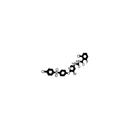 O=C(NC(=O)c1c(F)cccc1Cl)Nc1cnc(Oc2ccc(S(=O)(=O)c3ccc(Cl)cc3)cc2)c(Br)c1